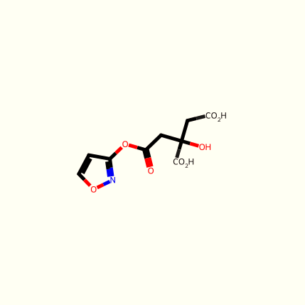 O=C(O)CC(O)(CC(=O)Oc1ccon1)C(=O)O